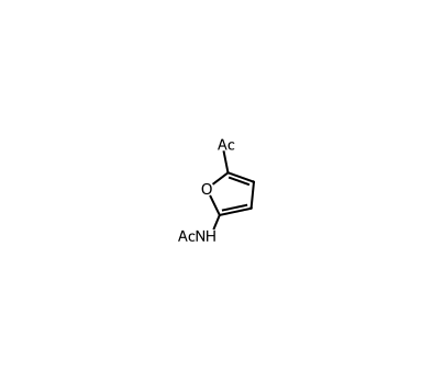 CC(=O)Nc1ccc(C(C)=O)o1